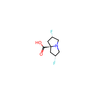 O=C(O)[C@@]12C[C@H](F)CN1C[C@H](F)C2